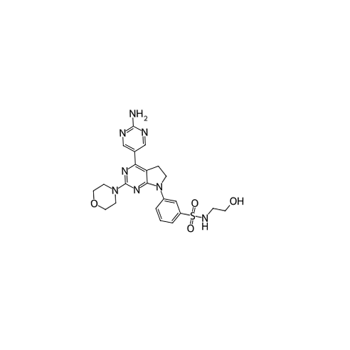 Nc1ncc(-c2nc(N3CCOCC3)nc3c2CCN3c2cccc(S(=O)(=O)NCCO)c2)cn1